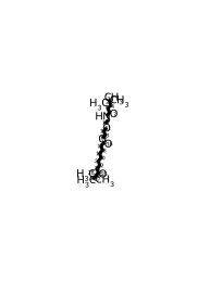 CC(C)(C)CCC(=O)NCCOCCOC(=O)CCCCCCCC(=O)C(C)(C)C